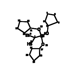 CCC(S)[Si](OC1CCCC1)(OC1CCCC1)OC1CCCC1